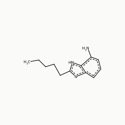 CCCCCc1nc2cccc(N)c2[nH]1